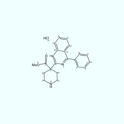 COC(=O)C1(c2nc(-c3ccccc3)c3ccccc3n2)CCNCC1.Cl